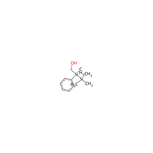 C[Si](C)(C)[Si](C)(CO)c1ccccc1